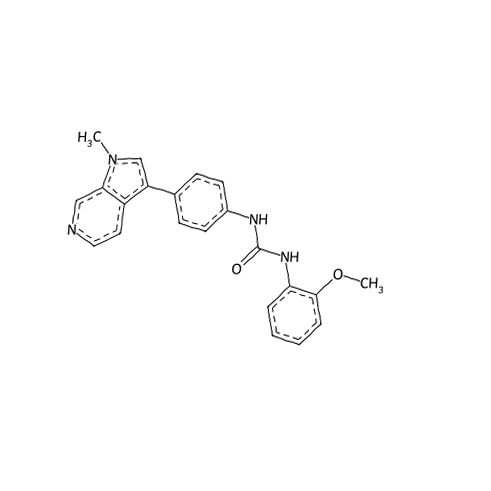 COc1ccccc1NC(=O)Nc1ccc(-c2cn(C)c3cnccc23)cc1